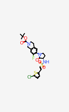 CC(C)(C)OC(=O)N1CCc2cc(N3CC[C@H](NS(=O)(=O)/C=C/c4ccc(Cl)s4)C3=O)c(F)cc2C1